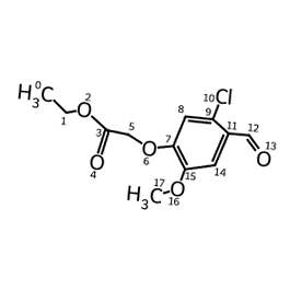 CCOC(=O)COc1cc(Cl)c(C=O)cc1OC